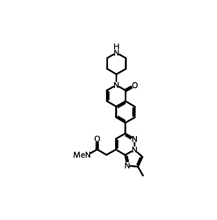 CNC(=O)Cc1cc(-c2ccc3c(=O)n(C4CCNCC4)ccc3c2)nn2cc(C)nc12